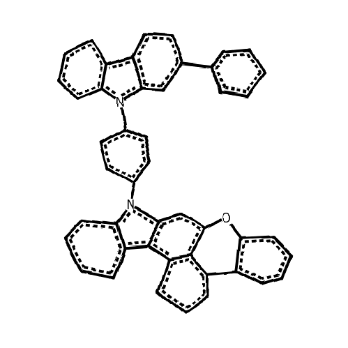 c1ccc(-c2ccc3c4ccccc4n(-c4ccc(-n5c6ccccc6c6c7cccc8c7c(cc65)Oc5ccccc5-8)cc4)c3c2)cc1